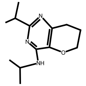 CC(C)Nc1nc(C(C)C)nc2c1OCCC2